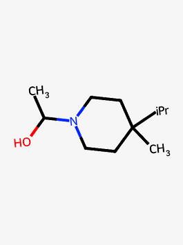 CC(O)N1CCC(C)(C(C)C)CC1